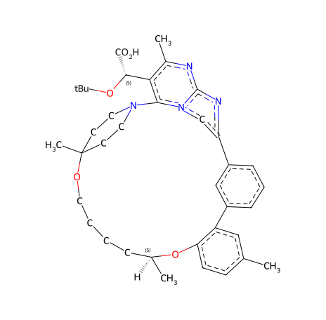 Cc1ccc2c(c1)-c1cccc(c1)-c1cn3c(c([C@H](OC(C)(C)C)C(=O)O)c(C)nc3n1)N1CCC(C)(CC1)OCCCC[C@H](C)O2